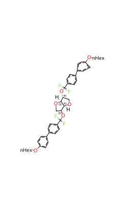 CCCCCCOc1ccc(-c2ccc(C(F)(F)O[C@H]3CO[C@@H]4[C@H]3OC[C@H]4OC(F)(F)c3ccc(-c4ccc(OCCCCCC)cc4)cc3)cc2)cc1